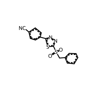 N#Cc1ccc(-c2nnc(S(=O)(=O)Cc3ccccc3)s2)cc1